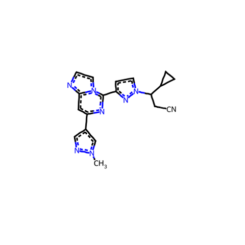 Cn1cc(-c2cc3nccn3c(-c3ccn(C(CC#N)C4CC4)n3)n2)cn1